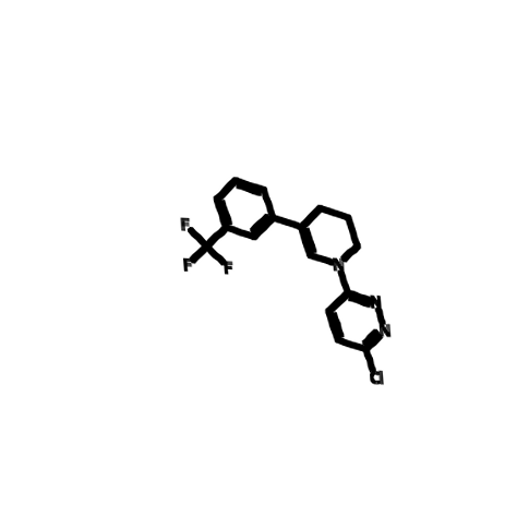 FC(F)(F)c1cccc(C2=CN(c3ccc(Cl)nn3)CCC2)c1